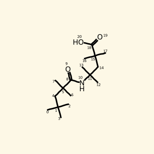 CC(C)(C)CC(C)(C)C(=O)NC(C)(C)CC(C)(C)C(=O)O